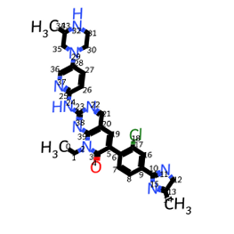 CCn1c(=O)c(-c2ccc(C3=NCC(C)=N3)cc2Cl)cc2cnc(Nc3ccc(N4CCNC(C)C4)cn3)nc21